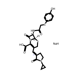 O=C(CSc1ccc(O)cc1)N[C@@H]1C(=O)N2C(C(=O)O)=C(/C=C3\CCN(C4CC4)C3=O)CS[C@H]12.[NaH]